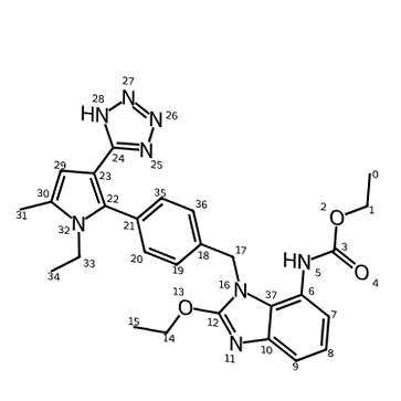 CCOC(=O)Nc1cccc2nc(OCC)n(Cc3ccc(-c4c(-c5nnn[nH]5)cc(C)n4CC)cc3)c12